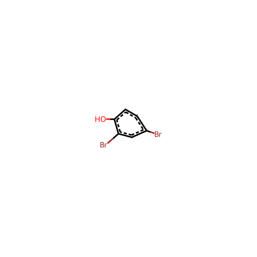 Oc1c[c]c(Br)cc1Br